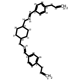 C=CCc1ccc(C=NCC2CCC(CN=Cc3ccc(CC=C)cc3)CC2)cc1